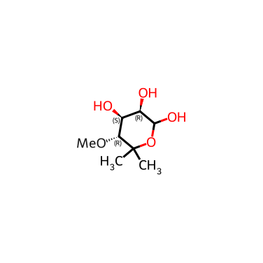 CO[C@@H]1[C@@H](O)[C@@H](O)C(O)OC1(C)C